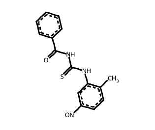 Cc1ccc(N=O)cc1NC(=S)NC(=O)c1ccccc1